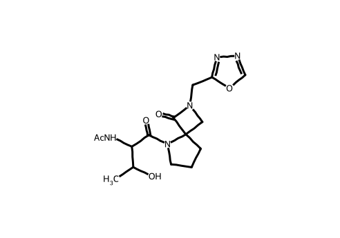 CC(=O)NC(C(=O)N1CCCC12CN(Cc1nnco1)C2=O)C(C)O